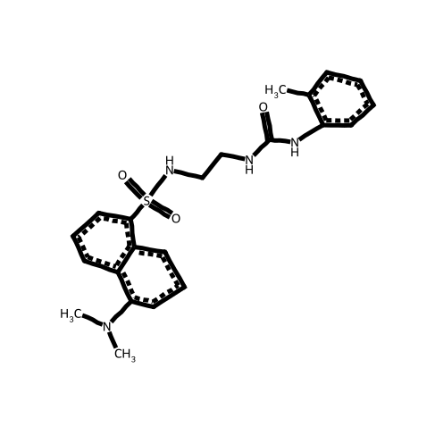 Cc1ccccc1NC(=O)NCCNS(=O)(=O)c1cccc2c(N(C)C)cccc12